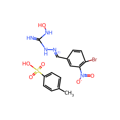 Cc1ccc(S(=O)(=O)O)cc1.N=C(NO)N/N=C/c1ccc(Br)c([N+](=O)[O-])c1